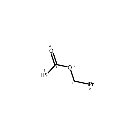 CC(C)COC(=O)S